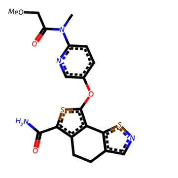 COCC(=O)N(C)c1ccc(Oc2sc(C(N)=O)c3c2-c2sncc2CC3)cn1